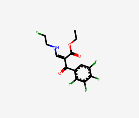 CCOC(=O)C(=CNCCF)C(=O)c1cc(F)c(F)c(F)c1F